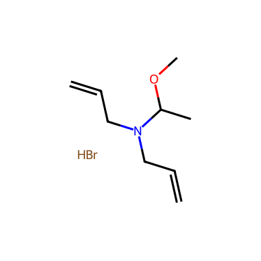 Br.C=CCN(CC=C)C(C)OC